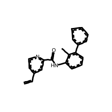 C=Cc1ccnc(C(=O)Nc2cccc(-c3ccccc3)c2C)c1